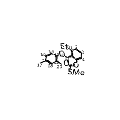 CCc1cccc(OC(=O)SC)c1COc1ccc(C)cc1C